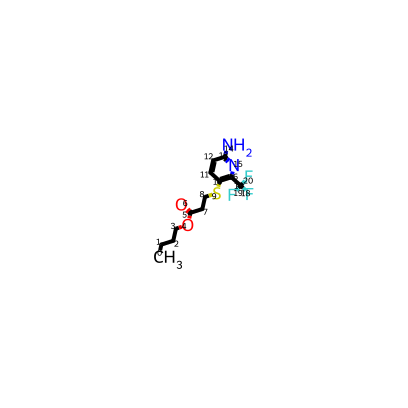 CCCCOC(=O)CCSc1ccc(N)nc1C(F)(F)F